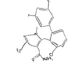 Cn1nc(C(F)(F)F)c(C(N)=O)c1-c1c(Cl)cccc1-c1cc(F)cc(F)c1